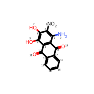 Nc1c2c(c(O)c(O)c1[N+](=O)[O-])C(=O)c1ccccc1C2=O